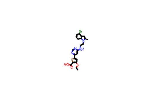 CCOc1cc(-c2cc(NCCn3c(C)cc4c(Br)cccc43)ncn2)sc1C(=O)O